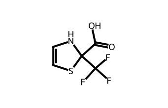 O=C(O)C1(C(F)(F)F)NC=CS1